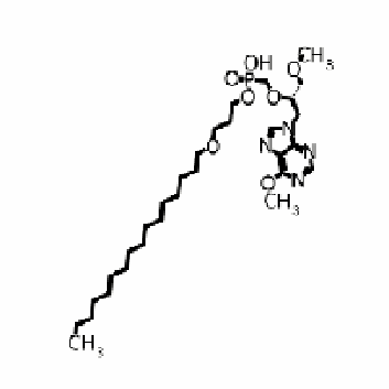 CCCCCCCCCCCCCCCCOCCCOP(=O)(O)CO[C@H](COC)Cn1cnc2c(OC)ncnc21